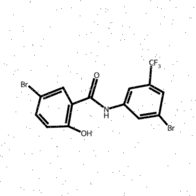 O=C(Nc1cc(Br)cc(C(F)(F)F)c1)c1cc(Br)ccc1O